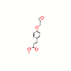 COC(=O)C=Cc1ccc(OCC2CO2)cc1